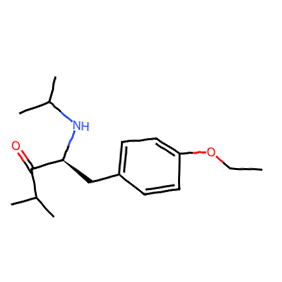 CCOc1ccc(C[C@H](NC(C)C)C(=O)C(C)C)cc1